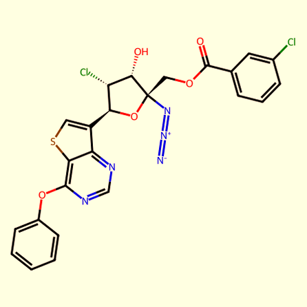 [N-]=[N+]=N[C@]1(COC(=O)c2cccc(Cl)c2)O[C@@H](c2csc3c(Oc4ccccc4)ncnc23)[C@H](Cl)[C@@H]1O